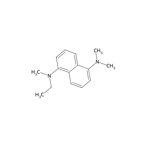 CCN(C)c1cccc2c(N(C)C)cccc12